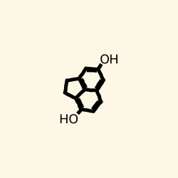 Oc1cc2c3c(c(O)ccc3c1)CC2